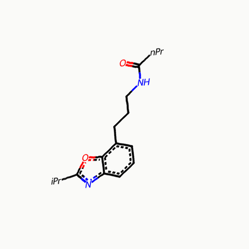 CCCC(=O)NCCCc1cccc2nc(C(C)C)oc12